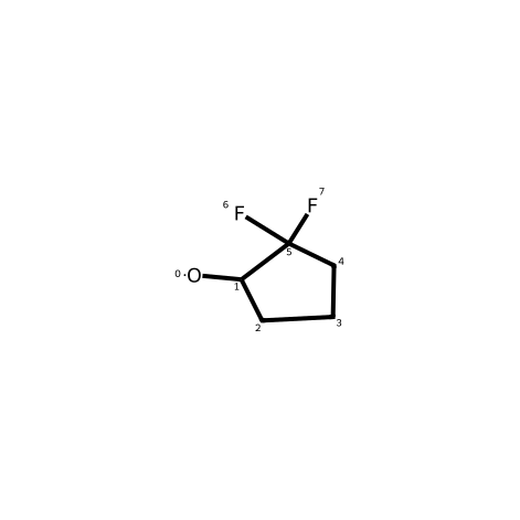 [O]C1CCCC1(F)F